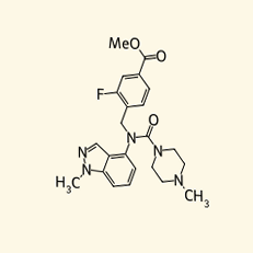 COC(=O)c1ccc(CN(C(=O)N2CCN(C)CC2)c2cccc3c2cnn3C)c(F)c1